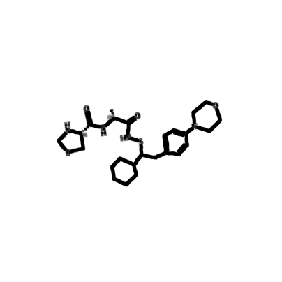 C[C@@H](NC(=O)[C@@H]1CSCN1)C(=O)NSC(Cc1ccc(N2CCOCC2)cc1)C1CCCCC1